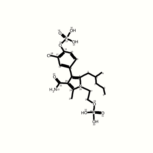 CCCC(C)Cc1c(-c2ccc(OP(=O)(O)O)c(Cl)c2)c(C(N)=O)c(C)n1CCOP(=O)(O)O